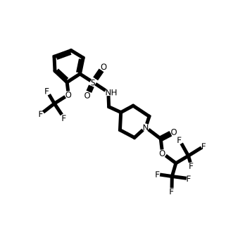 O=C(OC(C(F)(F)F)C(F)(F)F)N1CCC(CNS(=O)(=O)c2ccccc2OC(F)(F)F)CC1